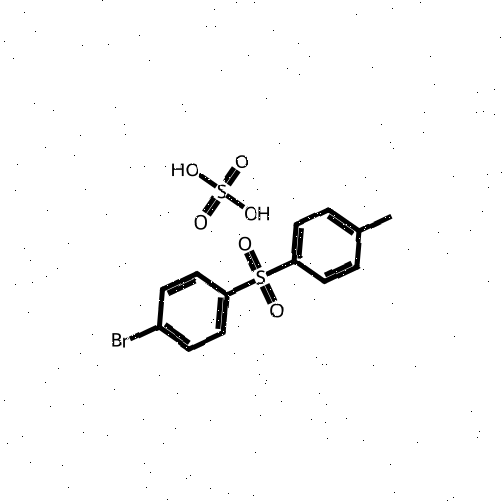 Cc1ccc(S(=O)(=O)c2ccc(Br)cc2)cc1.O=S(=O)(O)O